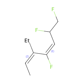 C/C=C(CC)\C(F)=C/C(F)CF